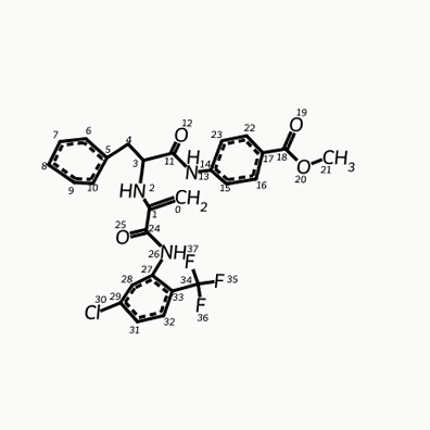 C=C(NC(Cc1ccccc1)C(=O)Nc1ccc(C(=O)OC)cc1)C(=O)Nc1cc(Cl)ccc1C(F)(F)F